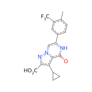 Cc1ccc(-c2cn3nc(C(=O)O)c(C4CC4)c3c(=O)[nH]2)cc1C(F)(F)F